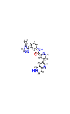 O=C(Nc1cccc(-c2nncn2C2CC2)c1)c1cc(-c2cnc3c(c2)CNCC3)ccn1